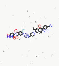 CCc1cc2c(cc1N1CCC(CN3CCN(c4cc5c(cc4F)C(=O)N(C4CCC(=O)NC4=O)C5=O)CC3)CC1)C(C)(C)c1[nH]c3cc(C#N)ccc3c1C2=O